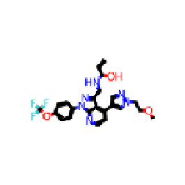 C=CC(O)NCc1nn(-c2ccc(OC(F)(F)F)cc2)c2nccc(-c3cnn(CCOC)c3)c12